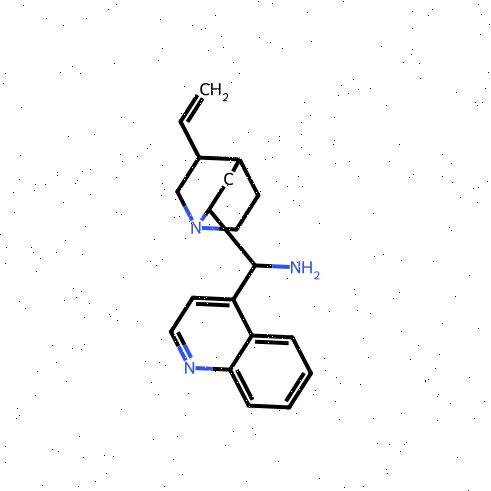 C=CC1CN2CCC1CC2C(N)c1ccnc2ccccc12